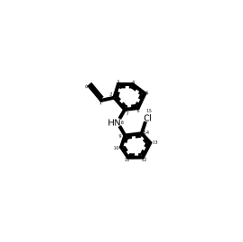 C=Cc1ccccc1Nc1ccccc1Cl